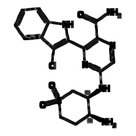 NC(=O)c1ncc(N[C@@H]2CS(=O)(=O)CC[C@@H]2N)nc1-c1[nH]c2ccccc2c1Cl